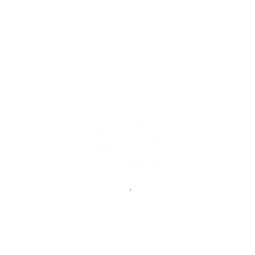 O=C(Nc1cc(N2C[C@@H](O)CC2c2ccc(N3CC4CC4C3)nc2)ncn1)C1CC1c1cccc(Cl)c1